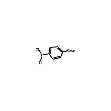 CSc1ccc(P(Cl)Cl)cc1